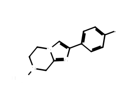 O=C(O)N1CCn2cc(-c3ccc(F)cc3)nc2C1